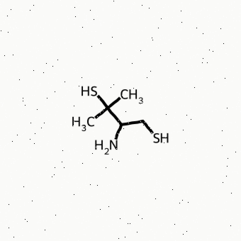 CC(C)(S)C(N)CS